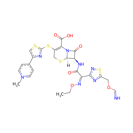 CCO/N=C(\C(=O)N[C@@H]1C(=O)N2C(C(=O)O)=C(Sc3nc(-c4cc[n+](C)cc4)cs3)CS[C@H]12)c1nsc(COC=N)n1